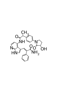 CC(C(=O)Nc1ccnc2[nH]cc(C=C(C(N)=O)c3ccccc3)c12)c1ccc(N2CCC(O)C2=O)cc1